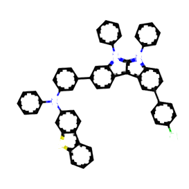 Clc1ccc(-c2ccc3c(c2)c2c4ccc(-c5cccc(N(c6ccccc6)c6ccc7c(c6)sc6ccccc67)c5)cc4n(-c4ccccc4)c2n3-c2ccccc2)cc1